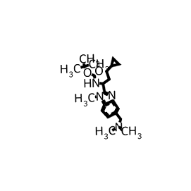 CN(C)Cc1ccc2c(c1)nc(C(CCC1CC1)NC(=O)OC(C)(C)C)n2C